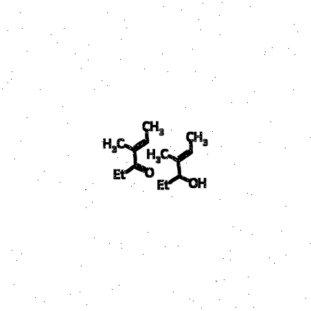 C/C=C(\C)C(=O)CC.C/C=C(\C)C(O)CC